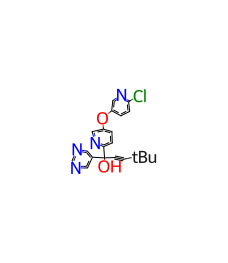 CC(C)(C)C#CC(O)(c1cncnc1)c1ccc(Oc2ccc(Cl)nc2)cn1